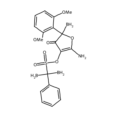 BC1(c2c(OC)cccc2OC)OC(N)=C(OS(=O)(=O)C(B)(B)c2ccccc2)C1=O